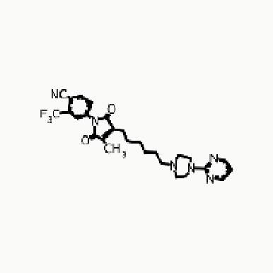 CC1=C(CCCCCCN2CCN(c3ncccn3)CC2)C(=O)N(c2ccc(C#N)c(C(F)(F)F)c2)C1=O